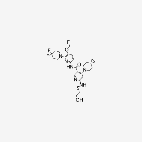 O=C(Nc1ccc(OCF)c(N2CCC(F)(F)CC2)n1)c1cnc(NSCCO)cc1N1CCC2(CC1)CC2